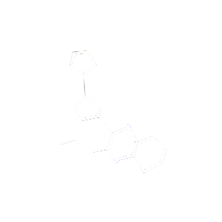 CCOc1nc2ccccc2nc1-c1ccc(-c2ccsc2)s1